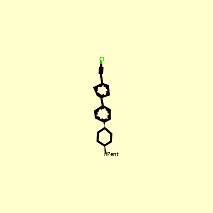 CCCCC[C@H]1CC[C@H](c2ccc(-c3ccc(C#CCl)cc3)cc2)CC1